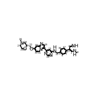 CN/C=C(\C=N)c1ccc(CNc2cc(-c3cnc4cc(OC[C@H]5CN(C)CCO5)ccn34)ncn2)cc1